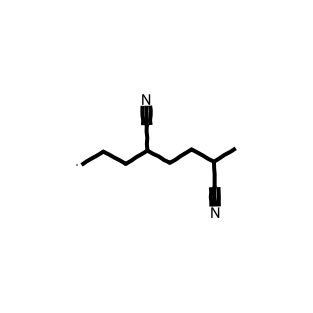 [CH2]CCC(C#N)CCC(C)C#N